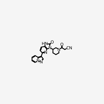 N#CCC(=O)N1CCCC(n2c(=O)[nH]c3ccc(-c4cnn5ccccc45)nc32)C1